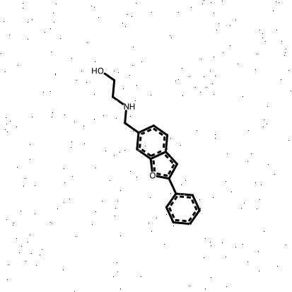 OCCNCc1ccc2cc(-c3ccccc3)oc2c1